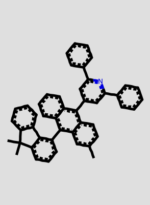 Cc1ccc2c(-c3cc(-c4ccccc4)nc(-c4ccccc4)c3)c3ccccc3c(-c3cccc4c3-c3ccccc3C4(C)C)c2c1